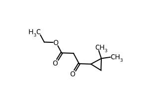 CCOC(=O)CC(=O)C1CC1(C)C